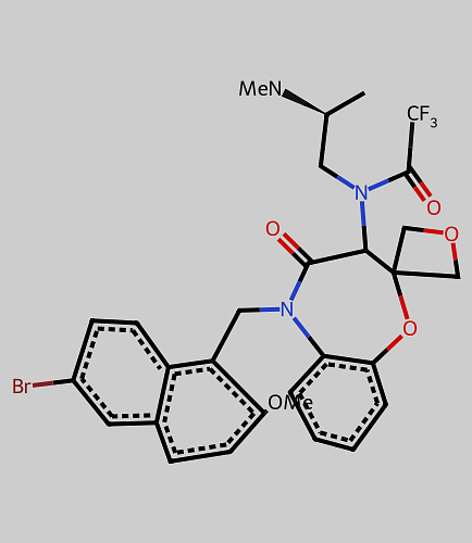 CN[C@@H](C)CN(C(=O)C(F)(F)F)C1C(=O)N(Cc2c(OC)ccc3cc(Br)ccc23)c2ccccc2OC12COC2